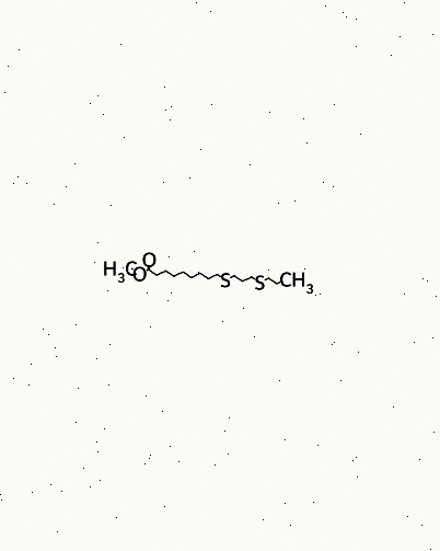 CCCSCCCSCCCCCCCCC(=O)OC